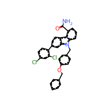 NC(=O)c1cccc2c1c1[c]cc(-c3ccc(Cl)cc3Cl)cc1n2Cc1ccc(OCc2ccccc2)cc1